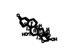 C[C@]12C=CC(=O)C=C1CC[C@H]1[C@@H]3C[C@H]4OCO[C@@]4(C(=O)CO)[C@@]3(C)C[C@H](O)[C@@]12F